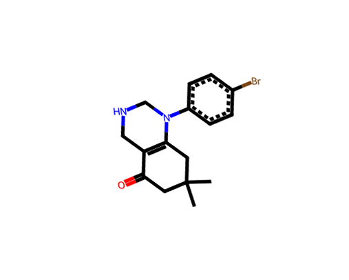 CC1(C)CC(=O)C2=C(C1)N(c1ccc(Br)cc1)CNC2